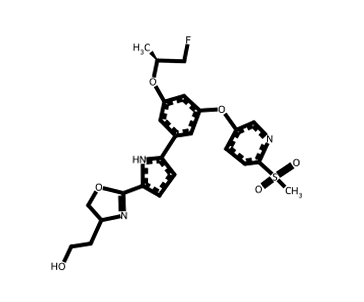 C[C@@H](CF)Oc1cc(Oc2ccc(S(C)(=O)=O)nc2)cc(-c2ccc(C3=NC(CCO)CO3)[nH]2)c1